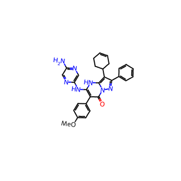 COc1ccc(-c2c(Nc3cnc(N)cn3)[nH]c3c(C4CC=CCC4)c(-c4ccccc4)nn3c2=O)cc1